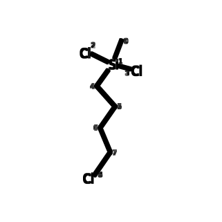 C[Si](Cl)(Cl)CCCCCl